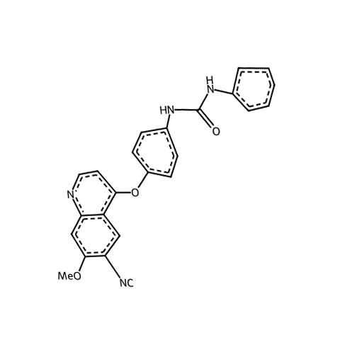 [C-]#[N+]c1cc2c(Oc3ccc(NC(=O)Nc4ccccc4)cc3)ccnc2cc1OC